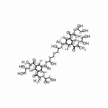 CC(=O)N(CC(O)CCCCC(O)CN(C(C)=O)c1c(I)c(C(=O)N(C)CC(O)CO)c(I)c(C(=O)N(C)CC(O)CO)c1I)c1c(I)c(C(=O)N(C)CC(O)CO)c(I)c(C(=O)N(C)CC(O)CO)c1I